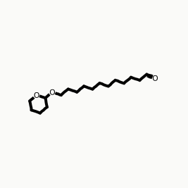 O=CCCCCCCCCCCCOC1CCCCO1